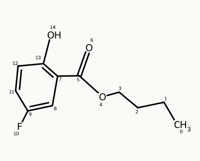 CCCCOC(=O)c1cc(F)ccc1O